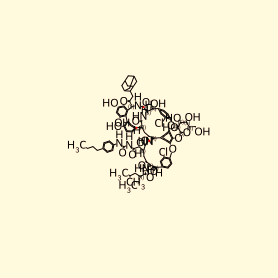 CCCCc1ccc(NC(=O)NC(=O)C[C@@H]2CC(=O)[C@H](NC(=O)[C@H](CC)CC(C)C)[C@H](O)c3ccc(c(Cl)c3)Oc3cc4cc(c3O[C@@H]3O[C@H](CO)[C@@H](O)[C@H](O)[C@H]3O)Oc3ccc(cc3Cl)[C@@H](O)[C@@H]3NC(=O)[C@H](CC(=O)[C@@H]4NC2=O)c2ccc(O)c(c2)-c2c(O)cc(O)cc2[C@@H](C(=O)CC2C4CC5CC(C4)CC2C5)NC3=O)cc1